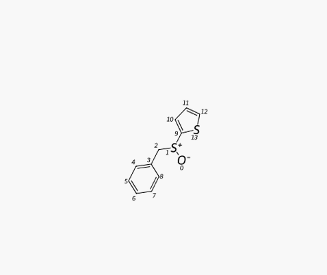 [O-][S+](Cc1ccccc1)c1cccs1